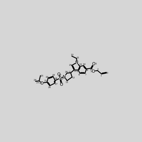 C=CCOC(=O)c1ccc2c(C3CCN(S(=O)(=O)c4ccc(OC(C)C)cc4)C3)cn(CC)c2c1